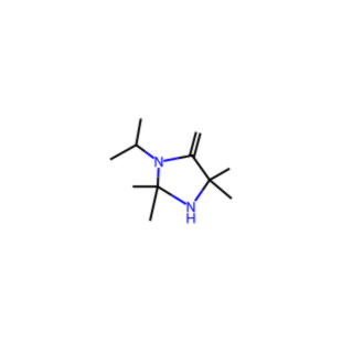 C=C1N(C(C)C)C(C)(C)NC1(C)C